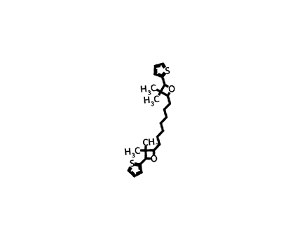 CC1(C)C(CCCCCCCC2OC(c3cccs3)C2(C)C)OC1c1cccs1